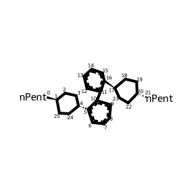 CCCCC[C@H]1CC[C@H](c2ccccc2-c2ccccc2[C@H]2CC[C@H](CCCCC)CC2)CC1